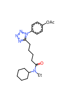 CCN(C(=O)CCCCc1nnnn1-c1ccc(OC(C)=O)cc1)C1CCCCC1